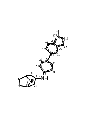 CN1C2CCC1CC(Nc1ccc(-c3ccc4[nH]ncc4c3)cc1)C2